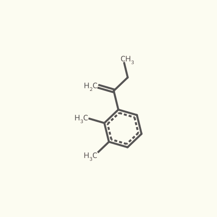 C=C(CC)c1cccc(C)c1C